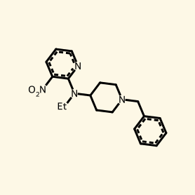 CCN(c1ncccc1[N+](=O)[O-])C1CCN(Cc2ccccc2)CC1